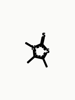 Cc1sc(=S)n(C)c1C